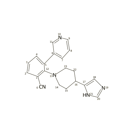 N#Cc1cccc(-c2cccnc2)c1N1CCC(c2cnc[nH]2)CC1